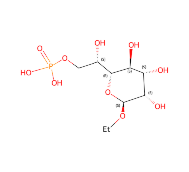 CCO[C@H]1O[C@H]([C@@H](O)COP(=O)(O)O)[C@@H](O)[C@H](O)[C@@H]1O